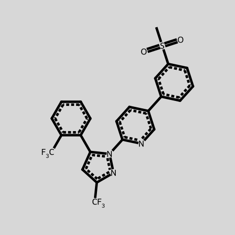 CS(=O)(=O)c1cccc(-c2ccc(-n3nc(C(F)(F)F)cc3-c3ccccc3C(F)(F)F)nc2)c1